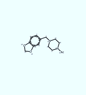 CC(=O)N1CCN(Cc2ccc3c(c2)OCO3)CC1